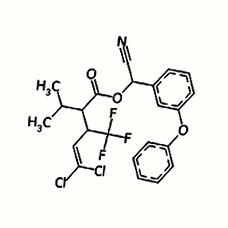 CC(C)C(C(=O)OC(C#N)c1cccc(Oc2ccccc2)c1)C(C=C(Cl)Cl)C(F)(F)F